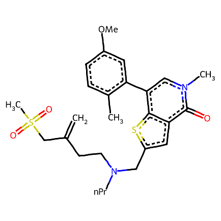 C=C(CCN(CCC)Cc1cc2c(=O)n(C)cc(-c3cc(OC)ccc3C)c2s1)CS(C)(=O)=O